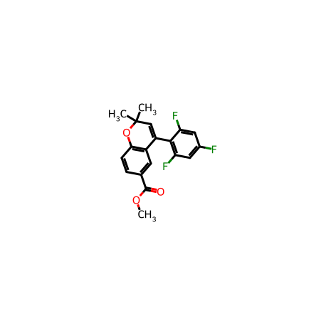 COC(=O)c1ccc2c(c1)C(c1c(F)cc(F)cc1F)=CC(C)(C)O2